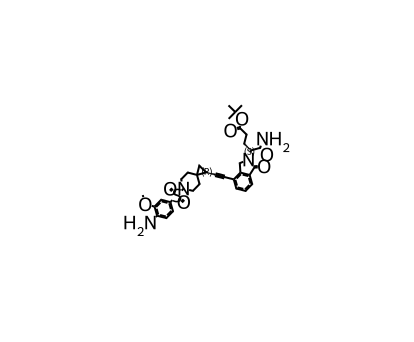 COc1cc(S(=O)(=O)N2CCC3(CC2)C[C@H]3C#Cc2cccc3c2CN([C@@H](CCC(=O)OC(C)(C)C)C(N)=O)C3=O)ccc1N